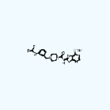 COc1ncnc2sc(NC(=O)N3CCN(Cc4cccc(OC(F)F)c4)CC3)nc12